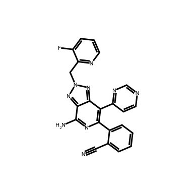 N#Cc1ccccc1-c1nc(N)c2nn(Cc3ncccc3F)nc2c1-c1ccncn1